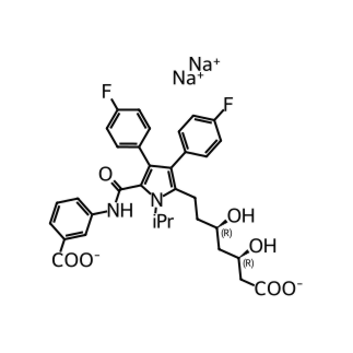 CC(C)n1c(CC[C@@H](O)C[C@@H](O)CC(=O)[O-])c(-c2ccc(F)cc2)c(-c2ccc(F)cc2)c1C(=O)Nc1cccc(C(=O)[O-])c1.[Na+].[Na+]